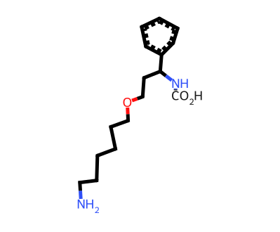 NCCCCCCOCCC(NC(=O)O)c1ccccc1